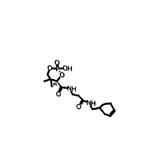 CC1(C)COP(=O)(O)O[C@H]1C(=O)NCCC(=O)NCC1CC=CCC1